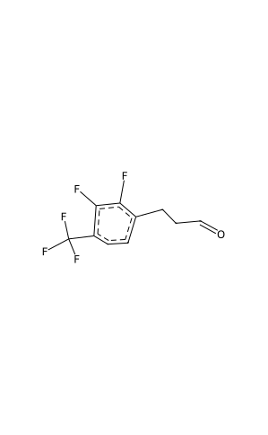 O=CCCc1ccc(C(F)(F)F)c(F)c1F